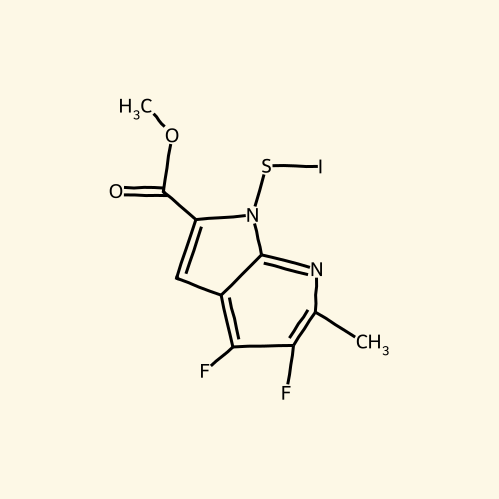 COC(=O)c1cc2c(F)c(F)c(C)nc2n1SI